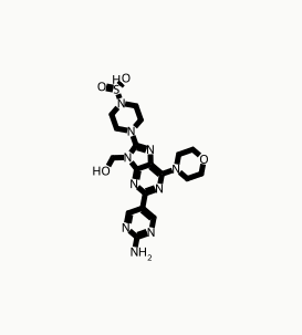 Nc1ncc(-c2nc(N3CCOCC3)c3nc(N4CCN([SH](=O)=O)CC4)n(CO)c3n2)cn1